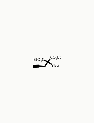 C#CCC(CCCC)(C(=O)OCC)C(=O)OCC